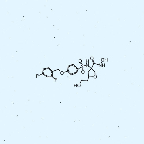 O=C(NO)C1(NS(=O)(=O)c2ccc(OCc3ccc(F)cc3F)cc2)COC(CCO)C1